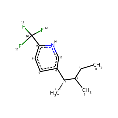 CCC(C)[C@H](C)c1ccc(C(F)(F)F)nc1